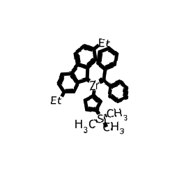 CCc1ccc2c(c1)[CH]([Zr]([C]1=CC([Si](C)(C)C)=CC1)=[C](c1ccccc1)c1ccccc1)c1cc(CC)ccc1-2